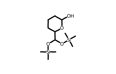 C[Si](C)(C)OC(O[Si](C)(C)C)C1CCCC(O)O1